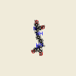 C=C(CC1=C(c2ccc(OC)cc2)C(c2ccc(OC)cc2)=NC1)NCc1ccc(-c2ccc(CNC(=C)CC3=C(c4ccc(OC)cc4)C(c4ccc(OC)cc4)=NC3)cc2)cc1